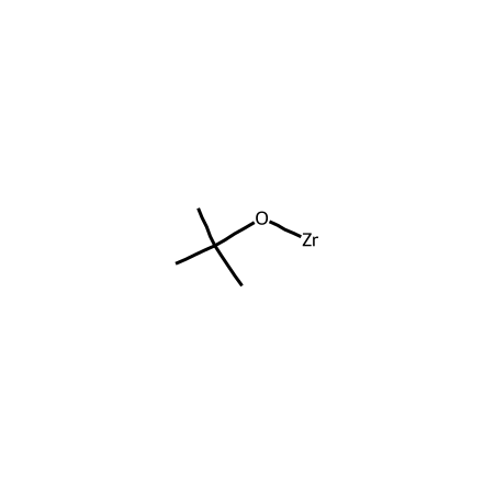 CC(C)(C)[O][Zr]